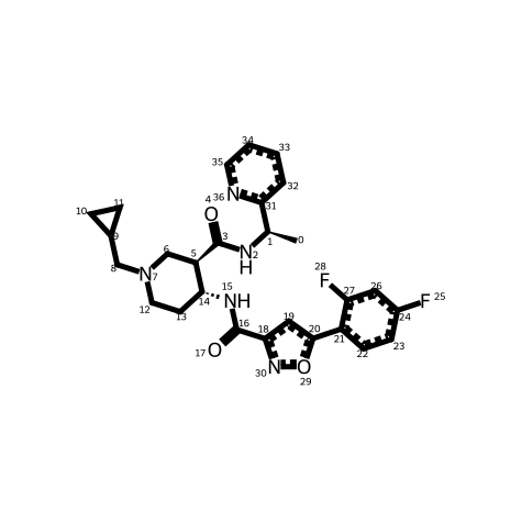 C[C@@H](NC(=O)[C@@H]1CN(CC2CC2)CC[C@H]1NC(=O)c1cc(-c2ccc(F)cc2F)on1)c1ccccn1